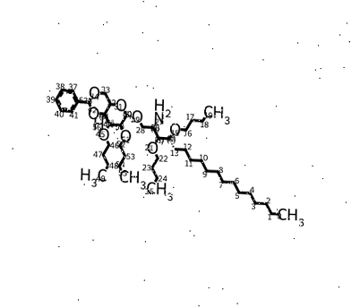 CCCCCCCCCCCCCC[C@@H](OCCCC)[C@@H](OCCCC)[C@@H](N)CO[C@H]1OC2COC(c3ccccc3)O[C@@H]2[C@H](OCCCC)C1OCCCC